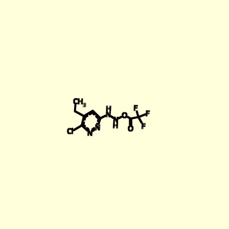 CCc1cc(NNOC(=O)C(F)(F)F)nnc1Cl